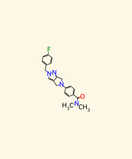 CN(C)C(=O)c1ccc(N2Cc3cn(Cc4ccc(F)cc4)nc3C2)cc1